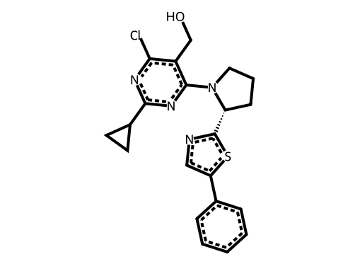 OCc1c(Cl)nc(C2CC2)nc1N1CCC[C@@H]1c1ncc(-c2ccccc2)s1